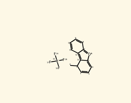 CC1C=CC=C2[O+]=c3ccccc3=C21.F[B-](F)(F)F